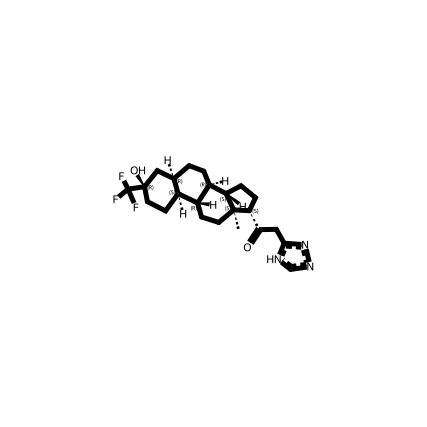 C[C@]12CC[C@H]3[C@@H](CC[C@@H]4C[C@@](O)(C(F)(F)F)CC[C@@H]43)[C@@H]1CC[C@@H]2C(=O)Cc1nnc[nH]1